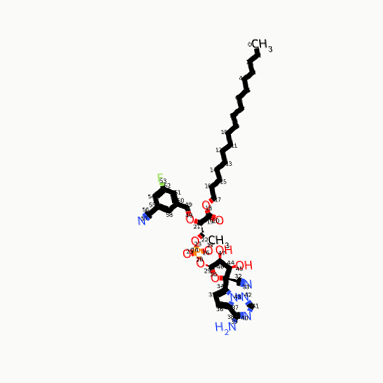 CCCCCCCCCCCCCCCCCCOC(=O)[C@H](COP(=O)(OC)O[C@H]1O[C@@](C#N)(c2ccc3c(N)ncnn23)[C@H](O)[C@@H]1O)OCc1cc(F)cc(C#N)c1